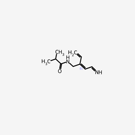 C=C/C(=C\C=N)CNC(=O)C(C)C